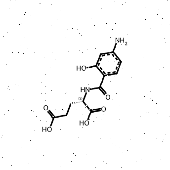 Nc1ccc(C(=O)N[C@@H](CCC(=O)O)C(=O)O)c(O)c1